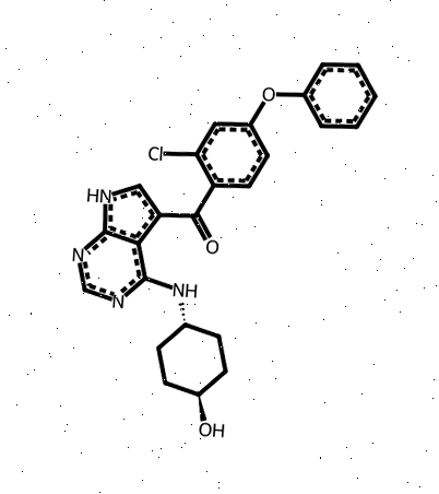 O=C(c1ccc(Oc2ccccc2)cc1Cl)c1c[nH]c2ncnc(N[C@H]3CC[C@H](O)CC3)c12